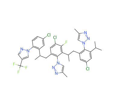 Cc1cn(-c2c(CC(C)c3c(F)c(Cl)cc(CC(C)c4cc(Cl)ccc4-n4cc(C(F)(F)F)cn4)c3-n3cc(C)nn3)cc(Cl)cc2C(C)C)nn1